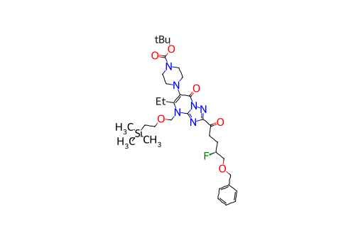 CCc1c(N2CCN(C(=O)OC(C)(C)C)CC2)c(=O)n2nc(C(=O)CC[C@H](F)COCc3ccccc3)nc2n1COCC[Si](C)(C)C